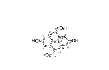 CCCCCCCCc1cc2cc(O)cc3c(CCCCCCCC)cc4cc(O)cc1c4c23